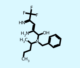 CCCC(C)N(Cc1ccccc1)C(O)/C(N)=C/C(=N)C(F)(F)F